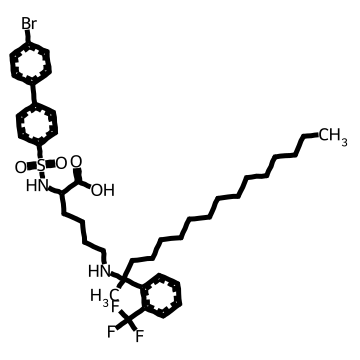 CCCCCCCCCCCCCCC(C)(NCCCCC(NS(=O)(=O)c1ccc(-c2ccc(Br)cc2)cc1)C(=O)O)c1ccccc1C(F)(F)F